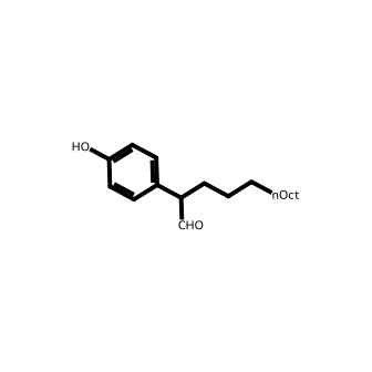 CCCCCCCCCCCC(C=O)c1ccc(O)cc1